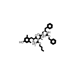 CCCCOC(=O)N(C(=O)[C@@H](N)Cc1c(C)cc(O)cc1C)[C@H](C)C(=O)NC[C@@H](Cc1ccccc1)NC(=O)OCc1ccccc1